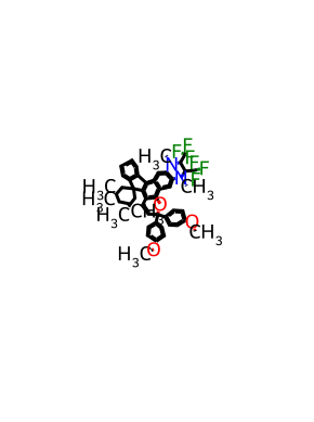 COc1ccc(C2(c3ccc(OC)cc3)C=Cc3c4c(c5cc6c(cc5c3O2)N(C)C(C(F)(F)F)C(C(F)(F)F)N6C)-c2ccccc2C42CC(C)(C)CC(C)(C)C2)cc1